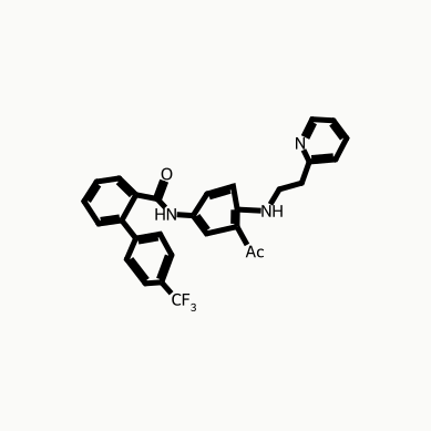 CC(=O)c1cc(NC(=O)c2ccccc2-c2ccc(C(F)(F)F)cc2)ccc1NCCc1ccccn1